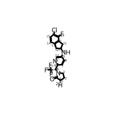 [2H][C@H]1CCN([C@@H](c2ccc(NC3Cc4ccc(Cl)c(F)c4C3)cn2)C(F)(F)F)C1=O